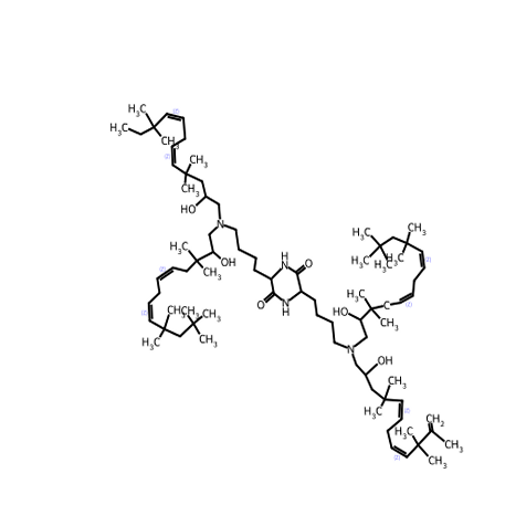 C=C(C)C(C)(C)/C=C\C/C=C\C(C)(C)CC(O)CN(CCCCC1NC(=O)C(CCCCN(CC(O)CC(C)(C)/C=C\C/C=C\C(C)(C)CC)CC(O)C(C)(C)C/C=C\C/C=C\C(C)(C)CC(C)(C)C)NC1=O)CC(O)C(C)(C)C/C=C\C/C=C\C(C)(C)CC(C)(C)C